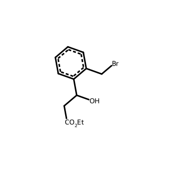 CCOC(=O)CC(O)c1ccccc1CBr